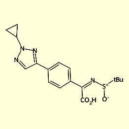 CC(C)(C)[S+]([O-])N=C(C(=O)O)c1ccc(-c2cnn(C3CC3)n2)cc1